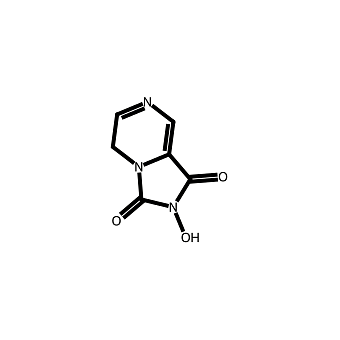 O=C1C2=CN=CCN2C(=O)N1O